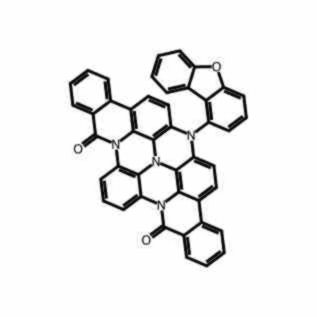 O=c1c2ccccc2c2ccc3c4c2n1c1cccc2c1-n4c1c(ccc4c5ccccc5c(=O)n2c41)n3-c1cccc2oc3ccccc3c12